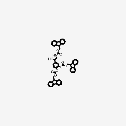 O=C(NCC(O)c1ccc(OC(=O)OCC2c3ccccc3-c3ccccc32)c(OC(=O)OCC2c3ccccc3-c3ccccc32)c1)OCC1c2ccccc2-c2ccccc21